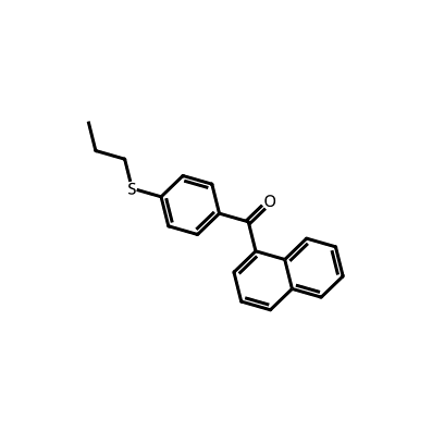 CCCSc1ccc(C(=O)c2cccc3ccccc23)cc1